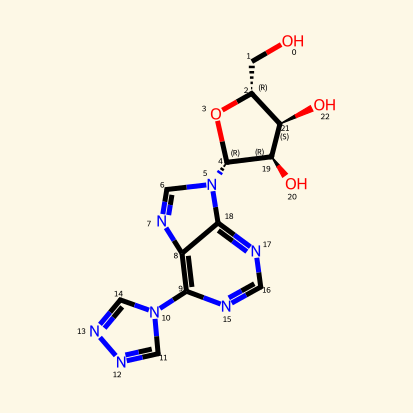 OC[C@H]1O[C@@H](n2cnc3c(-n4cnnc4)ncnc32)[C@H](O)[C@@H]1O